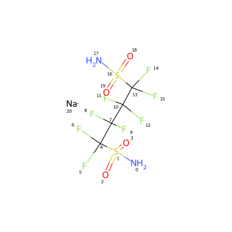 NS(=O)(=O)C(F)(F)C(F)(F)C(F)(F)C(F)(F)S(N)(=O)=O.[Na]